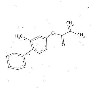 C=C(C)C(=O)Oc1ccc(-c2ccccc2)c(C)c1